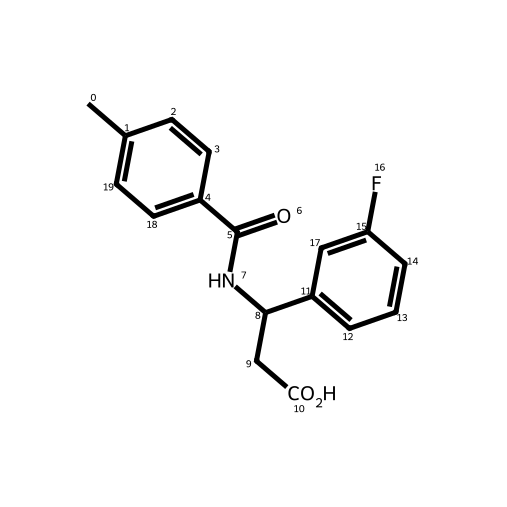 Cc1ccc(C(=O)NC(CC(=O)O)c2cccc(F)c2)cc1